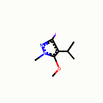 COc1c(C(C)C)c(I)nn1C